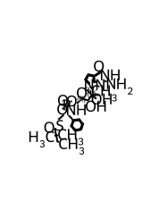 CCC(C)(C)C(=O)SCCOP(=O)(NCc1ccccc1)OC[C@H]1O[C@H](n2ccc3c(=O)[nH]c(N)nc32)[C@@](C)(O)C1O